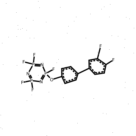 Fc1ccc(-c2ccc(OP3(F)=NP(F)(F)=NP(F)(F)=N3)cc2)cc1F